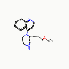 O=[N+]([O-])OCCC1CNCCN1c1ccnc2ccccc12